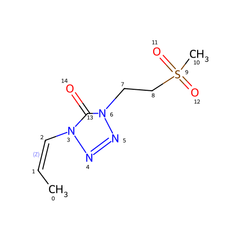 C/C=C\n1nnn(CCS(C)(=O)=O)c1=O